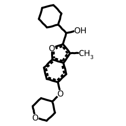 Cc1c(C(O)C2CCCCC2)oc2ccc(OC3CCOCC3)cc12